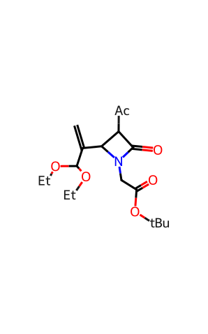 C=C(C(OCC)OCC)C1C(C(C)=O)C(=O)N1CC(=O)OC(C)(C)C